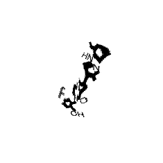 CCc1ccccc1Nc1cc(-c2cc3n(c2)CCN(Cc2cc(F)ccc2CO)C3=O)c(C)cn1